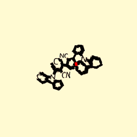 N#Cc1c(-c2ccccc2-n2c3c(c4ccccc42)CCC=C3)cccc1-c1cccc(-n2c3ccccc3c3ccccc32)c1C#N